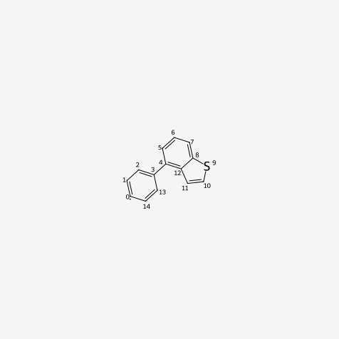 [c]1ccc(-c2cccc3sccc23)cc1